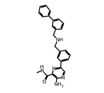 CNC(=O)c1nc(-c2cccc(CNCc3cccc(-c4ccccc4)c3)c2)cnc1N